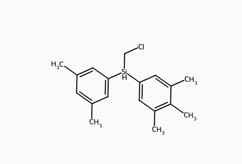 Cc1cc(C)cc([SiH](CCl)c2cc(C)c(C)c(C)c2)c1